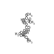 COC(=O)c1cc(Nc2nccc(Oc3ccc(NC(=O)Nc4cc(C(C)(C)C)nn4-c4ccc(OC)cc4)c4ccccc34)n2)cc(OC)c1